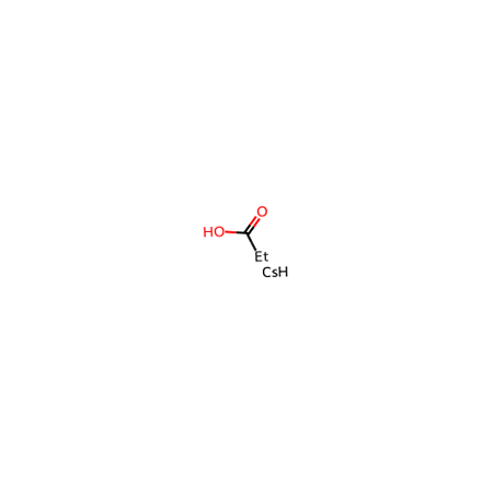 CCC(=O)O.[CsH]